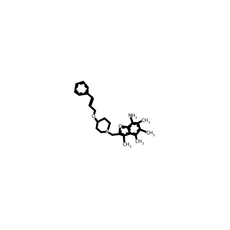 Cc1c(C)c(C)c2c(C)c(CN3CCC(OCC=Cc4ccccc4)CC3)oc2c1N